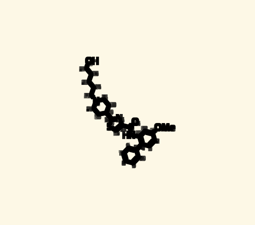 COc1ccc(-c2ccccc2)c(NC(=O)c2csc(C3CCN(CCCCCO)CC3)n2)c1